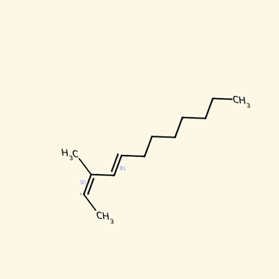 C/[C]=C(C)\C=C\CCCCCCC